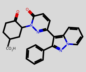 O=C(O)C1CCC(=O)C(n2nc(-c3c(-c4ccccc4)nn4ccccc34)ccc2=O)C1